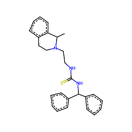 CC1c2ccccc2CCN1CCNC(=S)NC(c1ccccc1)c1ccccc1